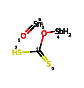 S=C(S)[O][SbH2].[O]=[Sn]